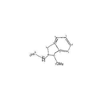 COC1c2ccccc2CC1NC=O